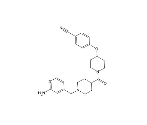 N#Cc1ccc(OC2CCN(C(=O)C3CCN(Cc4ccnc(N)c4)CC3)CC2)cc1